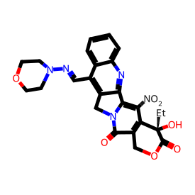 CC[C@@]1(O)C(=O)OCc2c1c([N+](=O)[O-])c1n(c2=O)Cc2c-1nc1ccccc1c2/C=N/N1CCOCC1